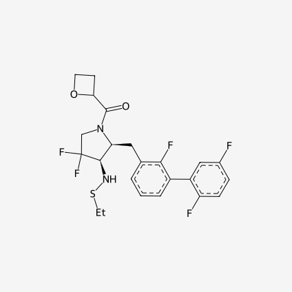 CCSN[C@@H]1[C@H](Cc2cccc(-c3cc(F)ccc3F)c2F)N(C(=O)C2CCO2)CC1(F)F